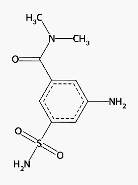 CN(C)C(=O)c1cc(N)cc(S(N)(=O)=O)c1